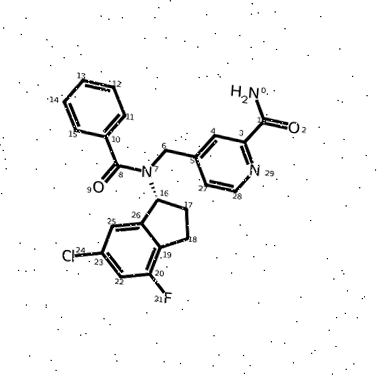 NC(=O)c1cc(CN(C(=O)c2ccccc2)[C@@H]2CCc3c(F)cc(Cl)cc32)ccn1